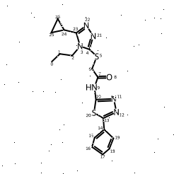 CCCn1c(SCC(=O)Nc2nnc(-c3ccccc3)s2)nnc1C1CC1